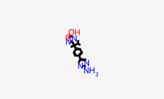 CC(C)C(C)(c1ccc(-c2cnc(N)nc2)cc1)c1noc(O)n1